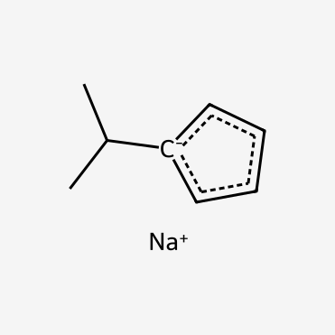 CC(C)[c-]1cccc1.[Na+]